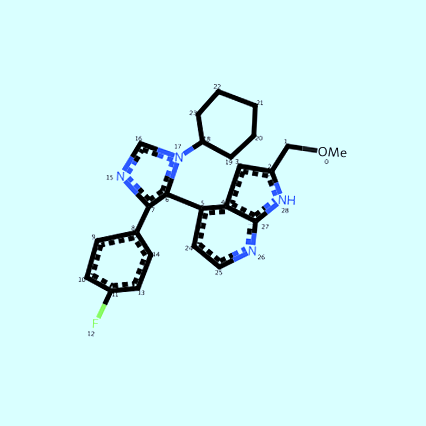 COCc1cc2c(-c3c(-c4ccc(F)cc4)ncn3C3CCCCC3)ccnc2[nH]1